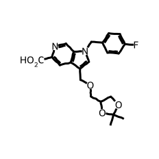 CC1(C)OCC(COCc2cn(Cc3ccc(F)cc3)c3cnc(C(=O)O)cc23)O1